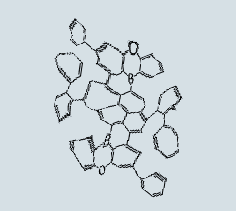 c1ccc(-c2cc3c4c(c2)-c2cc(-c5ccccc5-c5ccccc5)c5cc6c7c(cc(-c8ccccc8-c8ccccc8)c8cc(c2c5c87)B4c2ccccc2O3)-c2cc(-c3ccccc3)cc3c2B6c2ccccc2O3)cc1